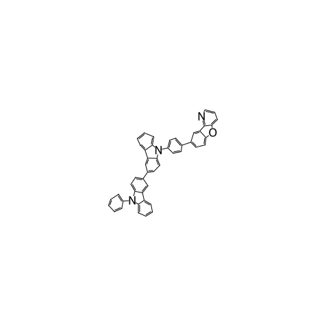 c1ccc(-n2c3ccccc3c3cc(-c4ccc5c(c4)c4ccccc4n5-c4ccc(-c5ccc6oc7cccnc7c6c5)cc4)ccc32)cc1